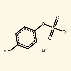 O=S(=O)([O-])Oc1ccc(C(F)(F)F)cc1.[Li+]